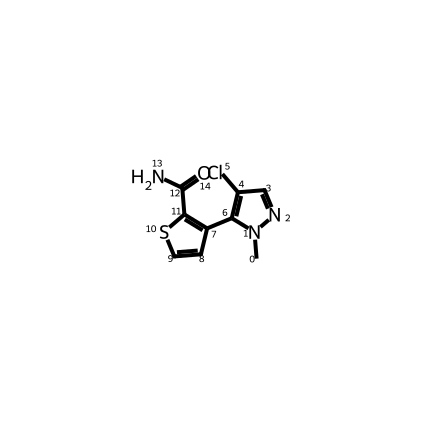 Cn1ncc(Cl)c1-c1ccsc1C(N)=O